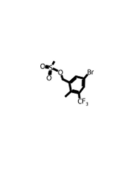 Cc1c(COS(C)(=O)=O)cc(Br)cc1C(F)(F)F